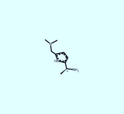 C[C@H](N)c1ccc(CN(C)C)[nH]1